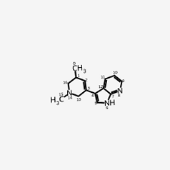 CC1C=C(c2c[nH]c3ncccc23)CN(C)C1